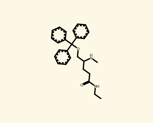 CCNC(=O)CCC(COC(c1ccccc1)(c1ccccc1)c1ccccc1)NC